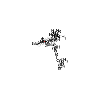 CCCC[C@H](NC(=O)/C=C(\C)c1ccc(C(F)(F)P(=O)(OCOC(=O)C(C)(C)C)OCOC(=O)C(C)(C)C)cc1)C(=O)N1C[C@H]2CC[C@H]2[C@H]1C(=O)N[C@@H](CCC(N)=O)[C@@H](C)OCc1ccc(CCCNC(=O)COCCOCCCc2ccc3c(c2)n(C)c(=O)n3C2CCC(=O)NC2=O)cc1